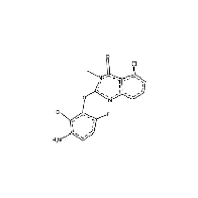 Cn1c(Oc2c(F)ccc(N)c2Cl)nc2cccc(Cl)c2c1=O